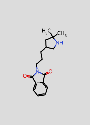 CC1(C)CC(CCCN2C(=O)c3ccccc3C2=O)CN1